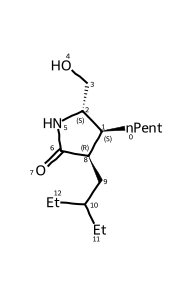 CCCCC[C@@H]1[C@@H](CO)NC(=O)[C@@H]1CC(CC)CC